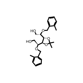 Cc1ccccc1CO[C@@H](CO)[C@@H]1OC(C)(C)O[C@H]1[C@H](CO)OCc1ccccc1C